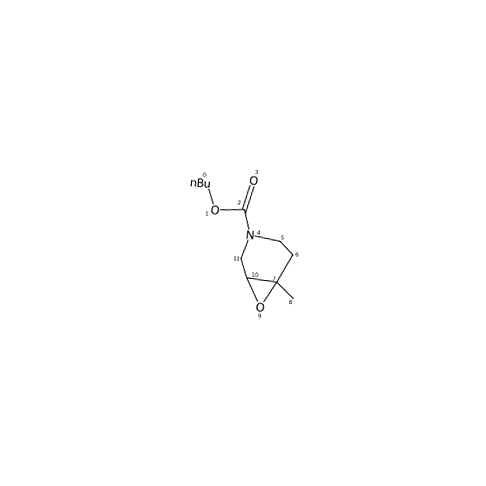 CCCCOC(=O)N1CCC2(C)OC2C1